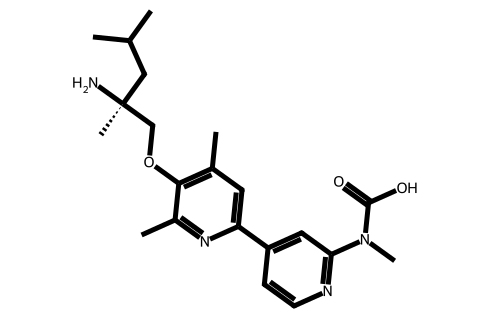 Cc1cc(-c2ccnc(N(C)C(=O)O)c2)nc(C)c1OC[C@@](C)(N)CC(C)C